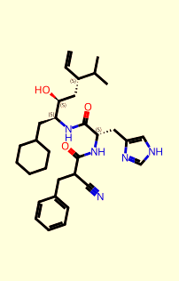 C=C[C@@H](C[C@H](O)[C@H](CC1CCCCC1)NC(=O)[C@H](Cc1c[nH]cn1)NC(=O)C(C#N)Cc1ccccc1)C(C)C